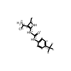 CC1NC(NC(=O)Nc2ccc(C(C)(C)C)cc2)=C1C(N)Cl